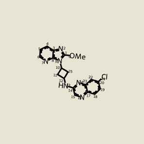 COc1nc2cccnc2n1C1CC(Nc2cnc3ccc(Cl)cc3n2)C1